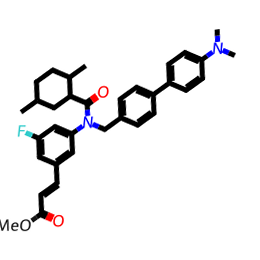 COC(=O)/C=C/c1cc(F)cc(N(Cc2ccc(-c3ccc(N(C)C)cc3)cc2)C(=O)C2CC(C)CCC2C)c1